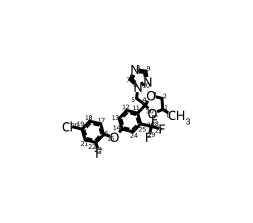 CC1COC(Cn2cncn2)(c2ccc(Oc3ccc(Cl)cc3F)cc2C(F)(F)F)O1